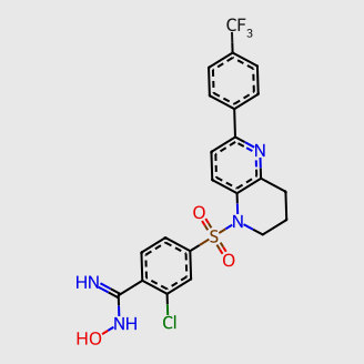 N=C(NO)c1ccc(S(=O)(=O)N2CCCc3nc(-c4ccc(C(F)(F)F)cc4)ccc32)cc1Cl